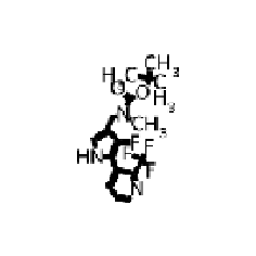 CN(Cc1c[nH]c(-c2cccnc2C(F)(F)F)c1F)C(=O)OC(C)(C)C